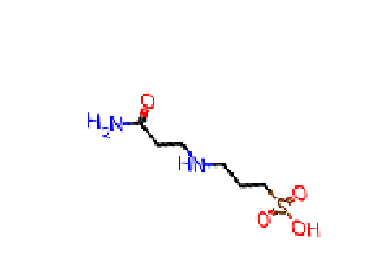 NC(=O)CCNCCCS(=O)(=O)O